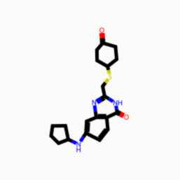 O=C1CCC(SCc2nc3cc(NC4CCCC4)ccc3c(=O)[nH]2)CC1